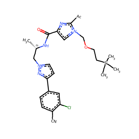 CC(=O)c1nc(C(=O)N[C@@H](C)Cn2ccc(-c3ccc(C#N)c(Cl)c3)n2)cn1COCC[Si](C)(C)C